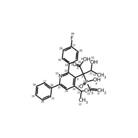 C=CP(=O)(O)C(C(=O)O)(c1c(C(C)C)cc(-c2ccccc2)nc1-c1ccc(F)cc1)C(C)O